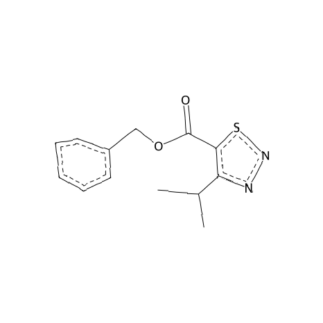 CC(C)c1nnsc1C(=O)OCc1ccccc1